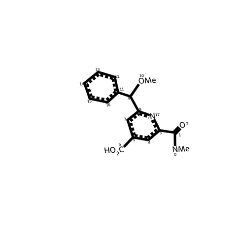 CNC(=O)c1cc(C(=O)O)cc(C(OC)c2ccccc2)n1